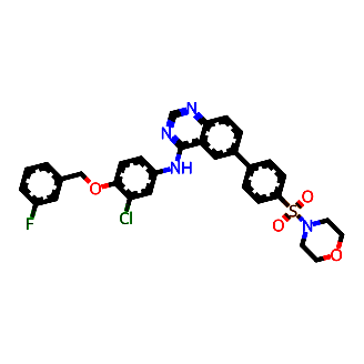 O=S(=O)(c1ccc(-c2ccc3ncnc(Nc4ccc(OCc5cccc(F)c5)c(Cl)c4)c3c2)cc1)N1CCOCC1